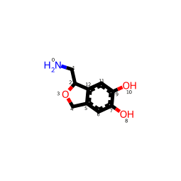 NCC1OCc2cc(O)c(O)cc21